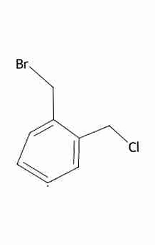 ClCc1c[c]ccc1CBr